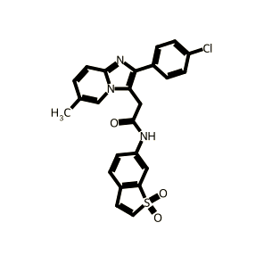 Cc1ccc2nc(-c3ccc(Cl)cc3)c(CC(=O)Nc3ccc4c(c3)S(=O)(=O)C=C4)n2c1